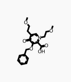 COCCc1cn(CCOC)c(C(=O)O)c(OCc2ccccc2)c1=O